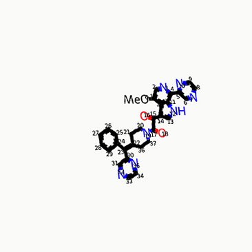 COc1cnc(-c2cnccn2)c2[nH]cc(C(=O)C(=O)N3CCC(=C(c4ccccc4)c4cnccn4)CC3)c12